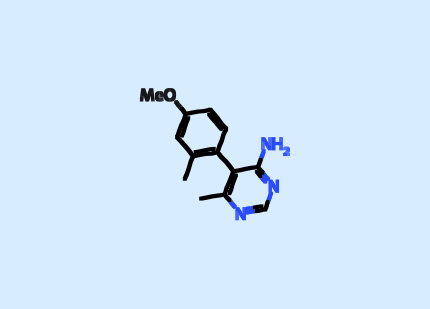 COc1ccc(-c2c(C)ncnc2N)c(C)c1